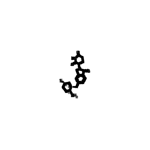 N[C@H]1CC[C@H](F)C[C@@H]1Cc1ccc2c(c1)CN(C1CCC(=O)NC1=O)C2=O